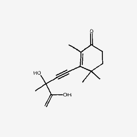 C=C(O)C(C)(O)C#CC1=C(C)C(=O)CCC1(C)C